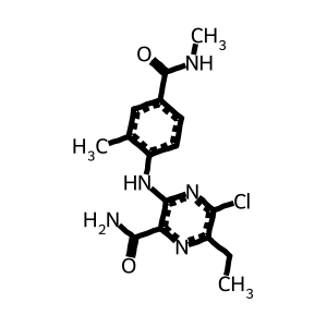 CCc1nc(C(N)=O)c(Nc2ccc(C(=O)NC)cc2C)nc1Cl